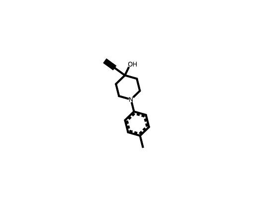 C#CC1(O)CCN(c2ccc(C)cc2)CC1